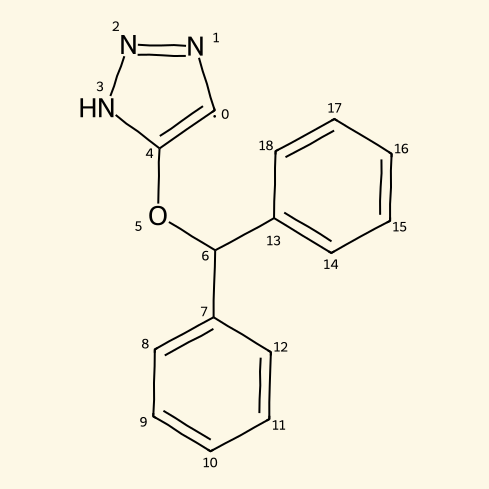 [c]1nn[nH]c1OC(c1ccccc1)c1ccccc1